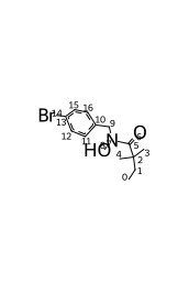 CCC(C)(C)C(=O)N(O)Cc1ccc(Br)cc1